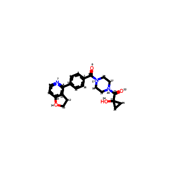 O=C(c1ccc(-c2nccc3c2CCO3)cc1)N1CCN(C(=O)C2(O)CC2)CC1